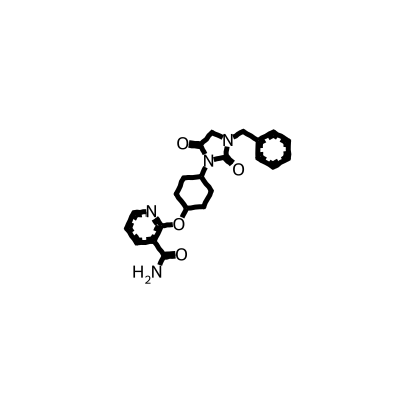 NC(=O)c1cccnc1OC1CCC(N2C(=O)CN(Cc3ccccc3)C2=O)CC1